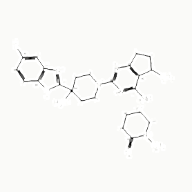 CC1CCc2nc(N3CCC(C)(c4nc5cc(F)ccc5o4)CC3)nc(N[C@H]3CCC(=O)N(C)C3)c21